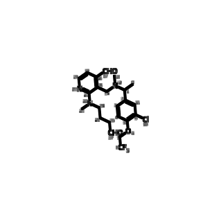 CC(c1ccc(OCC(F)(F)F)c(Cl)c1)N(C)Cc1c(C=O)ccnc1N(C)CCCC=O